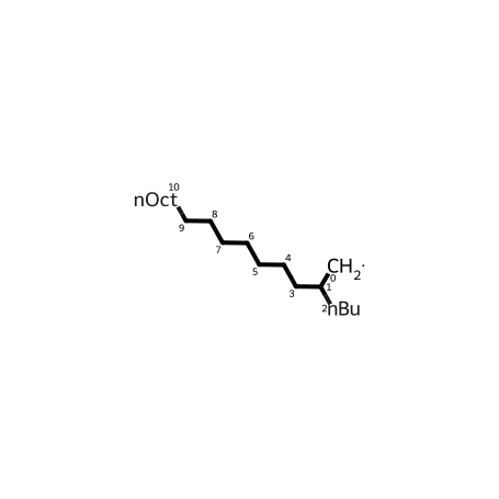 [CH2]C(CCCC)CCCCCCCCCCCCCCC